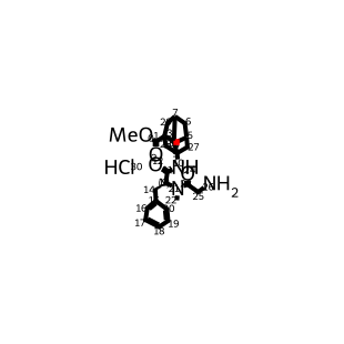 COC(=O)C12CC3CC(CC(NC(=O)[C@H](Cc4ccccc4)N(C)C(=O)CN)(C3)C1)C2.Cl